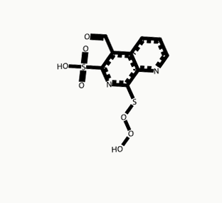 O=Cc1c(S(=O)(=O)O)nc(SOOO)c2ncccc12